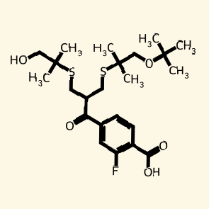 CC(C)(C)OCC(C)(C)SCC(CSC(C)(C)CO)C(=O)c1ccc(C(=O)O)c(F)c1